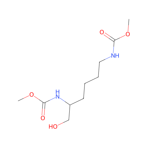 COC(=O)NCCCCC(CO)NC(=O)OC